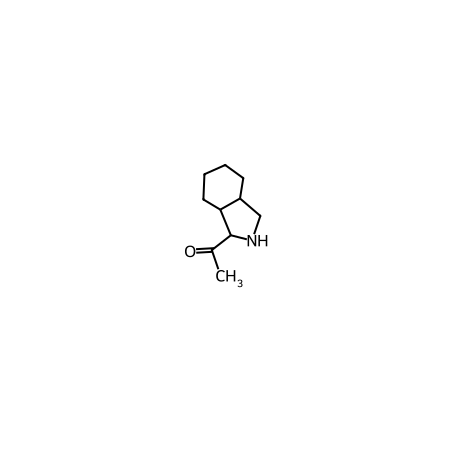 CC(=O)C1NCC2CCCCC21